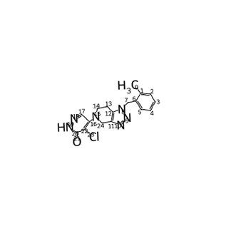 Cc1ccccc1Cn1nnc2c1CCN(c1cn[nH]c(=O)c1Cl)C2